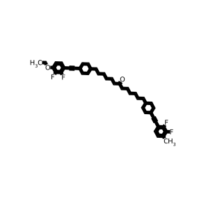 CCOc1ccc(C#CC2CCC(CCCCCCC(=O)CCCCCCC3CCC(C#Cc4ccc(C)c(F)c4F)CC3)CC2)c(F)c1F